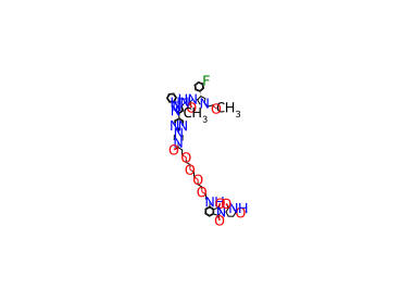 COCCN1C[C@@H](NC(=O)Nc2c(C)c(-c3cnc(N4CCN(C(=O)CCOCCOCCOCCOCCNc5cccc6c5C(=O)N(C5CCC(=O)NC5=O)C6=O)CC4)nc3)nn2-c2ccccc2)[C@H](c2cccc(F)c2)C1